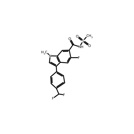 Cn1cc(-c2ccc(C(F)F)cc2)c2cc(F)c(C(=O)NS(C)(=O)=O)cc21